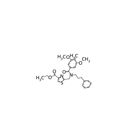 CCOC(=O)c1csc(CN(CCCc2ccccc2)C(=O)c2cc(OC)c(C)c(OC)c2)n1